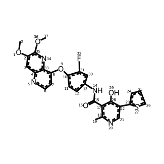 COc1cc2nccc(Oc3ccc(NC(=O)c4c(C)ncc(-c5cccs5)c4O)cc3F)c2nc1OC